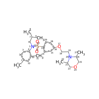 Cc1ccc(N(CC(C)C)S(=O)(=O)c2ccc(OCCN3C(C)COCC3C)cc2)c(C)c1